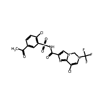 CC(=O)c1ccc(Cl)c(S(=O)(=O)NC(=O)C2=C[N+]3CN(C(F)(F)F)C=C(Cl)C3=N2)c1